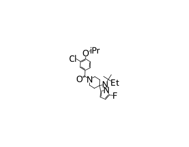 CCC(C)(C)N1n2c(F)ccc2C12CCN(C(=O)c1ccc(OC(C)C)c(Cl)c1)CC2